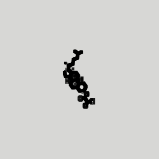 CC(C)CCC[C@@H](C)[C@H]1CC[C@H]2[C@@H]3CC=C4C[C@@H](OC(=O)C(=O)Cl)CC[C@]4(C)[C@H]3CC[C@]12C